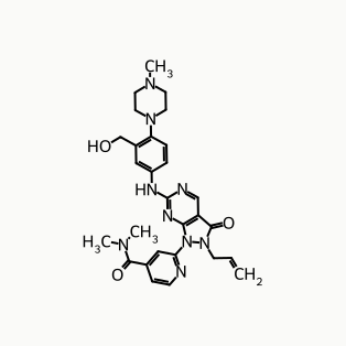 C=CCn1c(=O)c2cnc(Nc3ccc(N4CCN(C)CC4)c(CO)c3)nc2n1-c1cc(C(=O)N(C)C)ccn1